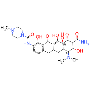 CN1CCN(C(=O)Nc2ccc3c(c2O)C(=O)C2=C(O)[C@]4(O)C(=O)C(C(N)=O)=C(O)[C@@H](N(C)C)C4CC2C3)CC1